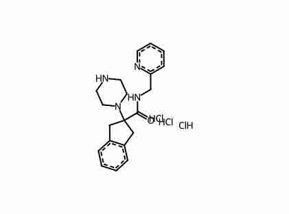 Cl.Cl.Cl.O=C(NCc1ccccn1)C1(N2CCNCC2)Cc2ccccc2C1